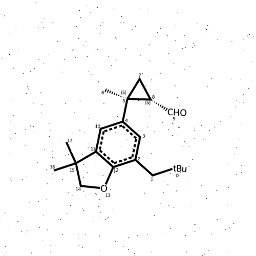 CC(C)(C)Cc1cc([C@@]2(C)C[C@@H]2C=O)cc2c1OCC2(C)C